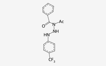 CC(=O)N(NNc1ccc(C(F)(F)F)cc1)C(=O)c1ccccc1